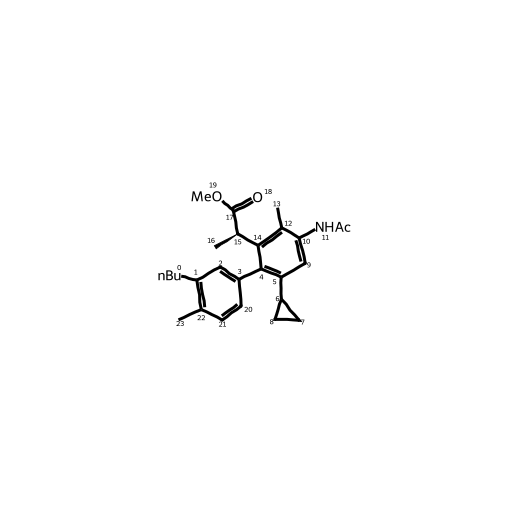 CCCCc1cc(-c2c(C3CC3)cc(NC(C)=O)c(C)c2[C@@H](C)C(=O)OC)ccc1C